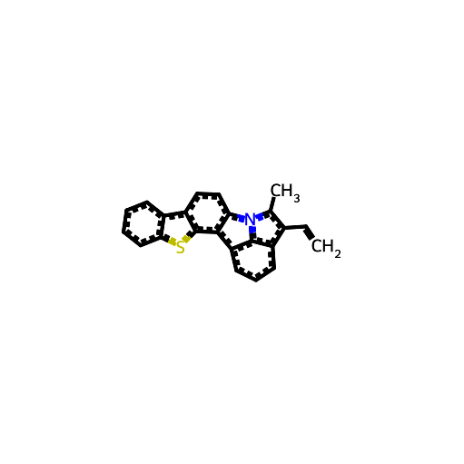 C=Cc1c(C)n2c3ccc4c5ccccc5sc4c3c3cccc1c32